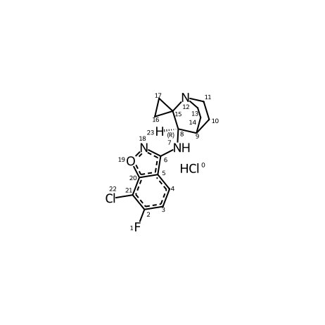 Cl.Fc1ccc2c(N[C@@H]3C4CCN(CC4)C34CC4)noc2c1Cl